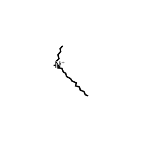 CCCCCCCCCCCCCC[N+](C)(C)CCCCCC